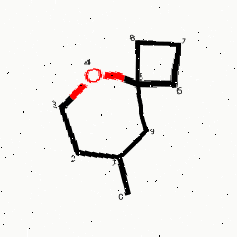 CC1CCOC2(CCC2)C1